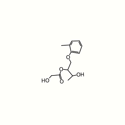 Cc1ccccc1OCC(OC(=O)CO)C(C)O